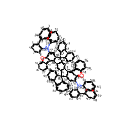 c1ccc(-c2ccccc2N(c2ccccc2)c2cc3c(c4c2oc2ccccc24)-c2cc4c(cc2C32c3ccccc3-c3ccccc32)-c2c(cc(N(c3ccccc3)c3ccccc3-c3ccccc3)c3oc5ccccc5c23)C42c3ccccc3-c3ccccc32)cc1